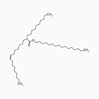 CCCCCCCC/C=C\CCCCCCC(CCCCCCCCCC)C(=O)OCCCCCCCCCCCCCCCC